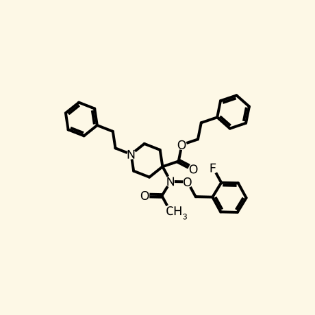 CC(=O)N(OCc1ccccc1F)C1(C(=O)OCCc2ccccc2)CCN(CCc2ccccc2)CC1